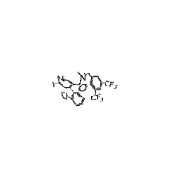 CN(Cc1cc(C(F)(F)F)cc(C(F)(F)F)c1)C(=O)c1cnc(I)cc1-c1ccccc1Cl